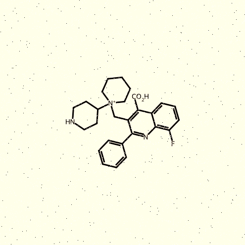 O=C(O)c1c(C[N+]2(C3CCNCC3)CCCCC2)c(-c2ccccc2)nc2c(F)cccc12